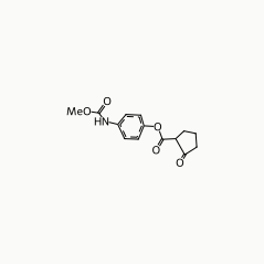 COC(=O)Nc1ccc(OC(=O)C2CCCC2=O)cc1